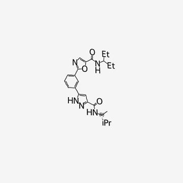 CCC(CC)NC(=O)c1cnc(-c2cccc(-c3cc(C(=O)N[C@H](C)C(C)C)n[nH]3)c2)o1